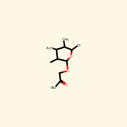 CCC1OC(OCC(=O)C(C)(C)C)C(C)C(OC(C)=O)C1OC(C)=O